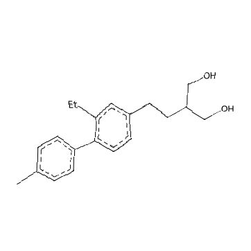 CCc1cc(CCC(CO)CO)ccc1-c1ccc(C)cc1